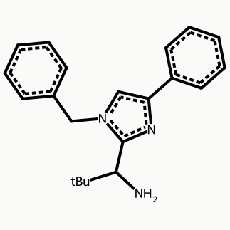 CC(C)(C)C(N)c1nc(-c2ccccc2)cn1Cc1ccccc1